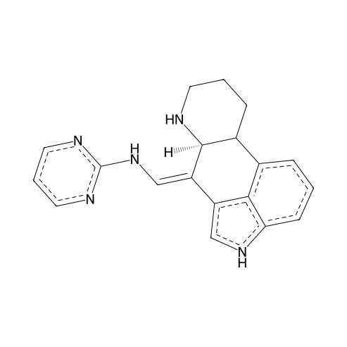 C(Nc1ncccn1)=C1c2c[nH]c3cccc(c23)C2CCCN[C@H]12